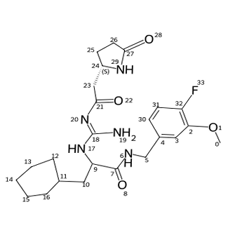 COc1cc(CNC(=O)C(CC2CCCCC2)NC(N)=NC(=O)C[C@@H]2CCC(=O)N2)ccc1F